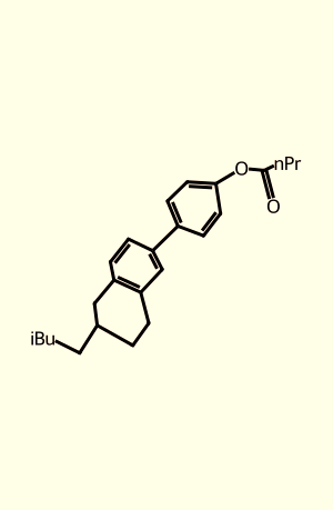 CCCC(=O)Oc1ccc(-c2ccc3c(c2)CCC(CC(C)CC)C3)cc1